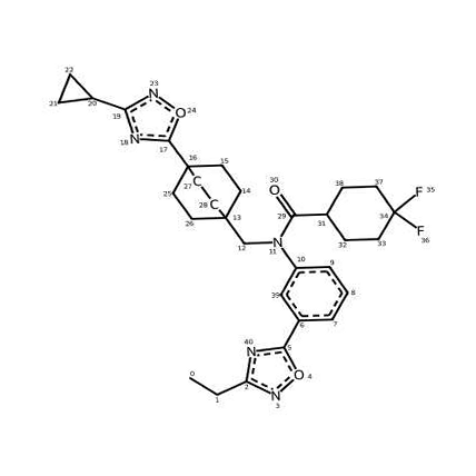 CCc1noc(-c2cccc(N(CC34CCC(c5nc(C6CC6)no5)(CC3)CC4)C(=O)C3CCC(F)(F)CC3)c2)n1